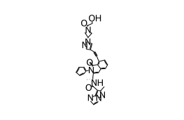 Cc1nn2cccnc2c1C(=O)N[C@H](C)c1cc2cccc(C#Cc3cnn(C4CN(C(=O)CO)C4)c3)c2c(=O)n1-c1ccccc1